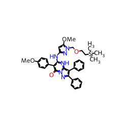 COc1ccc(-c2c(Nc3cc(OC)n(COCC[Si](C)(C)C)n3)[nH]c3c(-c4ccccc4)c(-c4ccccc4)nn3c2=O)cc1